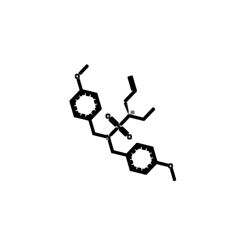 C=CC[C@H](CC)S(=O)(=O)N(Cc1ccc(OC)cc1)Cc1ccc(OC)cc1